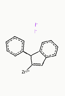 [I-].[I-].[Zr+2][C]1=Cc2ccccc2C1c1ccccc1